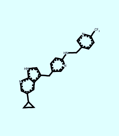 FC(F)(F)c1ccc(CNc2ccc(Cc3c[nH]c4ncc(C5CC5)cc34)cn2)cn1